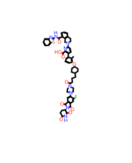 Cc1c(OC2CCC(CCCC(=O)N3CCN(c4cc5c(cc4F)C(=O)N(C4CCC(=O)NC4=O)C5=O)CC3)CC2)cccc1-c1ccc(N2CCc3cccc(C(=O)Nc4nc5ccccc5s4)c3C2)nc1C(=O)O